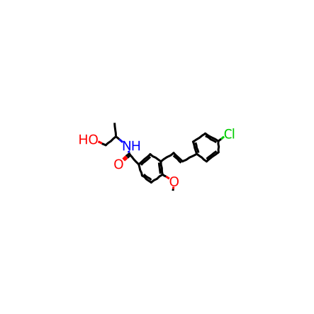 COc1ccc(C(=O)NC(C)CO)cc1/C=C/c1ccc(Cl)cc1